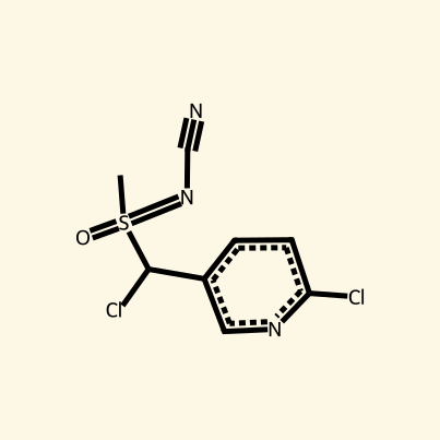 CS(=O)(=NC#N)C(Cl)c1ccc(Cl)nc1